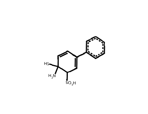 NC1(S)C=CC(c2ccccc2)=CC1S(=O)(=O)O